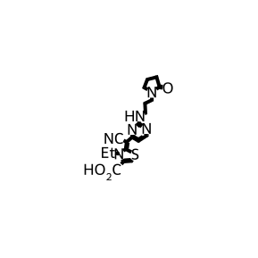 CCN1C(C(=O)O)=CSC1=C(C#N)c1ccnc(NCCCN2CCCC2=O)n1